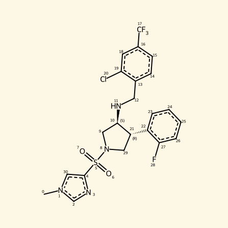 Cn1cnc(S(=O)(=O)N2C[C@@H](NCc3ccc(C(F)(F)F)cc3Cl)[C@H](c3ccccc3F)C2)c1